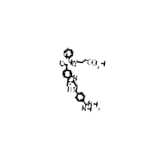 Cn1c(CNc2ccc(C(=N)N)cc2)nc2cc(C(=O)N(OCCCC(=O)O)c3ccccn3)ccc21